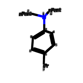 CCCCCN(CCCCC)c1ccc(C(C)C)cc1